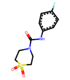 O=C(Nc1ccc(F)cc1)N1CCS(=O)(=O)CC1